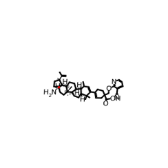 C=C(C)[C@@H]1CC[C@]2(N)CC[C@]3(C)[C@H](CC[C@@H]4[C@H]5C(C)C=C(C6=CCC(COc7ncccc7C#N)(C(=O)O)CC6)C(C)(C)[C@@H]5CC[C@]43C)[C@@H]12